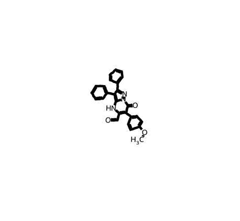 COc1ccc(-c2c(C=O)[nH]c3c(-c4ccccc4)c(-c4ccccc4)nn3c2=O)cc1